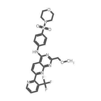 COCc1nc(Nc2ccc(S(=O)(=O)N3CCOCC3)cc2)c2ccc(-c3ncccc3C(F)(F)F)nc2n1